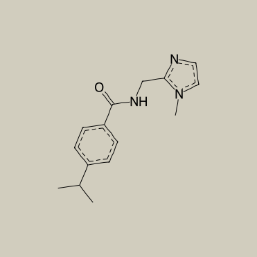 CC(C)c1ccc(C(=O)NCc2nccn2C)cc1